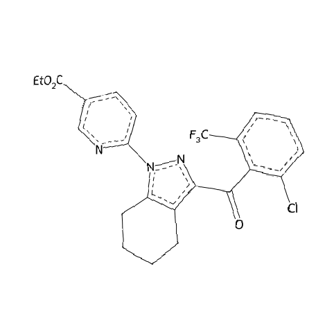 CCOC(=O)c1ccc(-n2nc(C(=O)c3c(Cl)cccc3C(F)(F)F)c3c2CCCC3)nc1